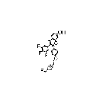 CC1=C(c2cc(F)c(F)c(F)c2)[C@@H](c2ccc(OCCN3CC(CF)C3)cc2)Oc2cc(O)ccc21